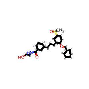 C[S+]([O-])c1ccc(OCc2ccccc2)c(CCCc2cccc(C(=O)NCCO)c2)c1